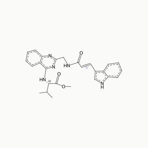 COC(=O)[C@@H](Nc1nc(CNC(=O)/C=C/c2c[nH]c3ccccc23)nc2ccccc12)C(C)C